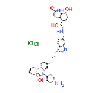 Cl.Cl.N[C@H]1CC[C@H](N(C(=O)O)c2cc(CCCCn3cnc4cc(CNC[C@H](O)c5ccc(O)c6[nH]c(=O)ccc56)ccc43)ccc2-c2ccccc2)CC1